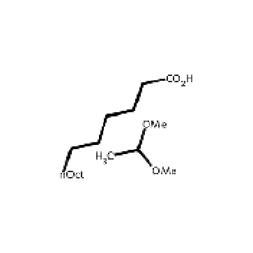 CCCCCCCCCCCCCC(=O)O.COC(C)OC